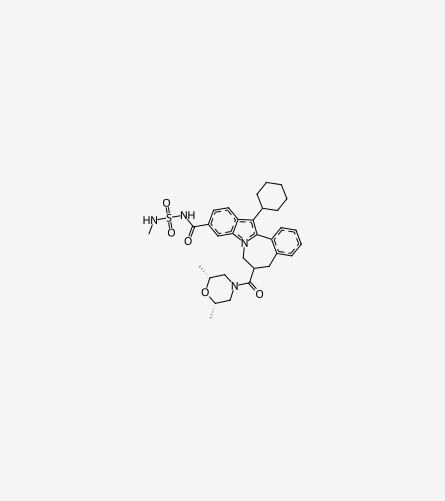 CNS(=O)(=O)NC(=O)c1ccc2c(C3CCCCC3)c3n(c2c1)CC(C(=O)N1C[C@@H](C)O[C@@H](C)C1)Cc1ccccc1-3